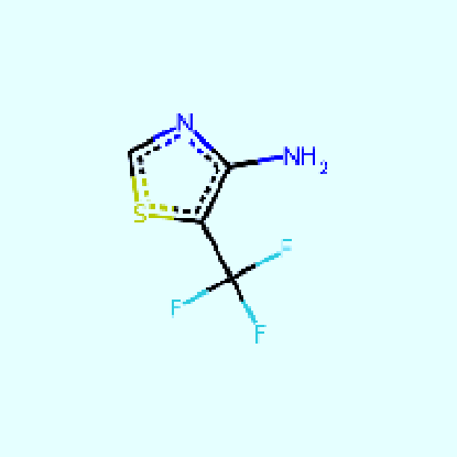 Nc1ncsc1C(F)(F)F